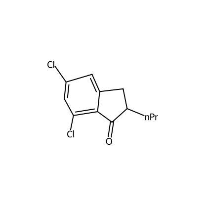 CCCC1Cc2cc(Cl)cc(Cl)c2C1=O